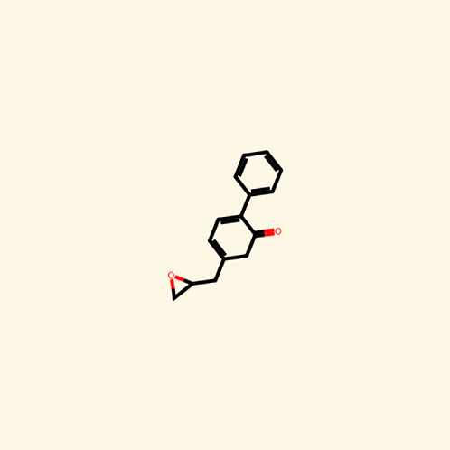 O=C1CC(CC2CO2)=CC=C1c1ccccc1